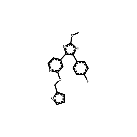 CSc1nc(-c2ccnc(OCc3ccco3)c2)c(-c2ccc(F)cc2)[nH]1